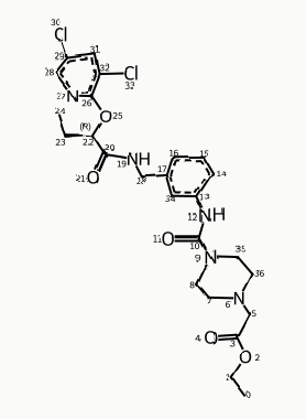 CCOC(=O)CN1CCN(C(=O)Nc2cccc(CNC(=O)[C@@H](CC)Oc3ncc(Cl)cc3Cl)c2)CC1